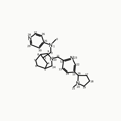 CN(CC1CC2CCC1CN(Cc1ccc(C3CCCN3C)cn1)C2)c1ccncc1